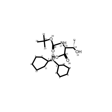 C1CCC(NC2CCCCC2)CC1.C[C@H](O)[C@H](NC(=O)OC(C)(C)C)C(=O)O